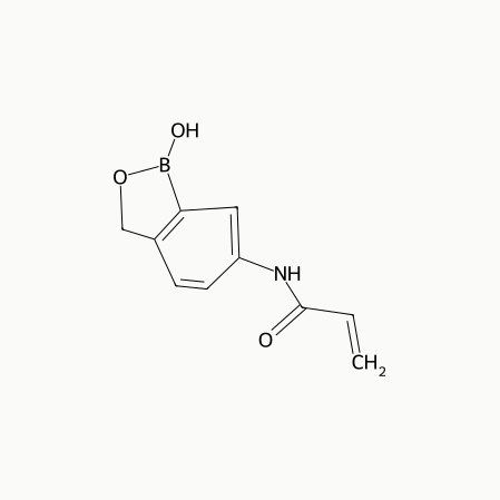 C=CC(=O)Nc1ccc2c(c1)B(O)OC2